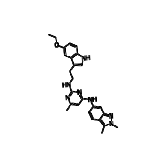 CCOc1ccc2[nH]cc(CCNc3nc(C)cc(Nc4ccc5c(C)n(C)nc5c4)n3)c2c1